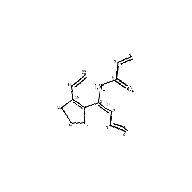 C=C/C=C(/NC(=O)C=C)C1=C(C=C)CCC1